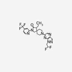 CCC1C(=O)N(c2cc(C(F)(F)F)ccn2)CC12CCN(c1cnc3cnn(CC(F)F)c3n1)CC2